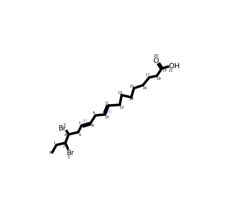 CCC(Br)C(Br)C/C=C/C/C=C/CCCCCCCC(=O)O